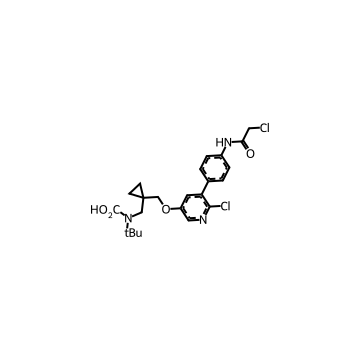 CC(C)(C)N(CC1(COc2cnc(Cl)c(-c3ccc(NC(=O)CCl)cc3)c2)CC1)C(=O)O